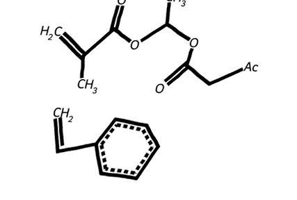 C=C(C)C(=O)OC(C)OC(=O)CC(C)=O.C=Cc1ccccc1